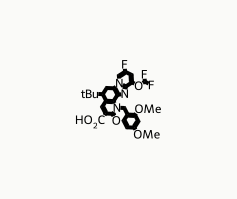 COc1ccc(Cn2c3c(cc(C(=O)O)c2=O)C(C(C)(C)C)Cc2c-3nc3c(OC(F)F)cc(F)cn23)c(OC)c1